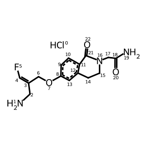 Cl.NC/C(=C/F)COc1ccc2c(c1)CCN(CC(N)=O)C2=O